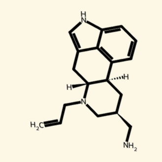 C=CCN1C[C@H](CN)C[C@@H]2c3cccc4[nH]cc(c34)C[C@H]21